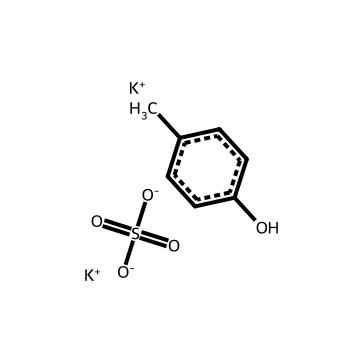 Cc1ccc(O)cc1.O=S(=O)([O-])[O-].[K+].[K+]